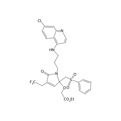 CCOC(=O)COC1(CS(=O)(=O)c2ccccc2)C=C(CC(F)(F)F)C(=O)N1CCCNc1ccnc2cc(Cl)ccc12